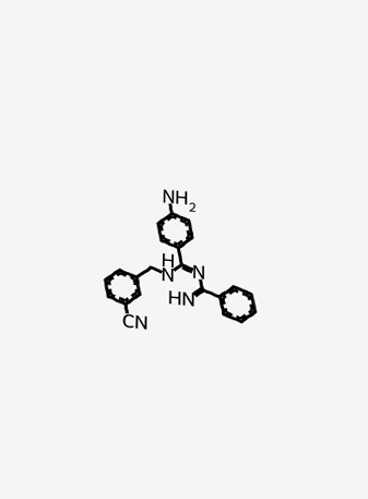 N#Cc1cccc(CN/C(=N\C(=N)c2ccccc2)c2ccc(N)cc2)c1